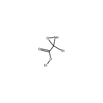 CCOC(=O)C1(CC)NO1